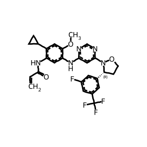 C=CC(=O)Nc1cc(Nc2cc(N3OCC[C@@H]3c3cc(F)cc(C(F)(F)F)c3)ncn2)c(OC)cc1C1CC1